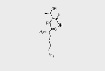 C[C@@H](O)[C@H](NC(=O)[C@@H](N)CCCCN)C(=O)O